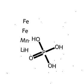 O=P(O)(O)O.[Fe].[Fe].[LiH].[Mn]